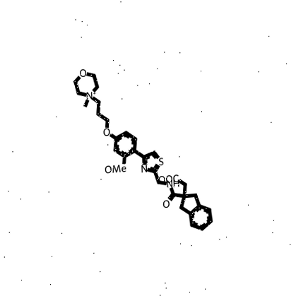 COc1cc(OCCC[N+]2(C)CCOCC2)ccc1-c1csc(CNC(=O)C2(CC(=O)[O-])Cc3ccccc3C2)n1